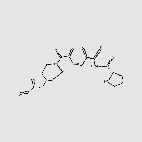 O=CC(=O)OC1CCN(C(=O)c2ccc(C(=S)NC(=O)[C@@H]3CCCN3)cc2)CC1